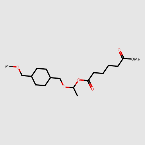 COC(=O)CCCCC(=O)OC(C)OCC1CCC(COC(C)C)CC1